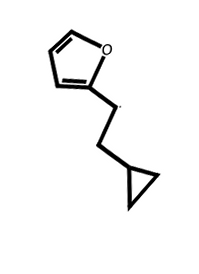 [CH](CC1CC1)c1ccco1